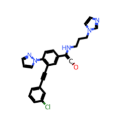 O=C=C(NCCCn1ccnc1)c1ccc(-n2cccn2)c(C#Cc2cccc(Cl)c2)c1